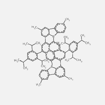 Cc1ccc2c(c1)-c1cc(C)cc3c1B2c1cc2c(-c4c(C(C)C)cc(C(C)C)cc4C(C)C)cc4c5c(cc6c(-c7c(C(C)C)cc(C(C)C)cc7C(C)C)cc-3c1c6c25)B1c2ccc(C)cc2-c2cc(C)cc-4c21